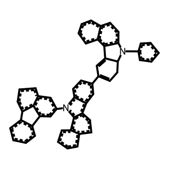 C1=C(c2ccc3c(c2)c2ccc4ccccc4c2n3-c2cc3c4c(cccc4c2)-c2ccccc2-3)C=C2c3c(ccc4ccccc34)N(c3ccccc3)C2C1